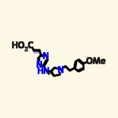 COc1ccc(CCN2CC[C@@H](Nc3cnc(/C=C/C(=O)O)cn3)C2)cc1